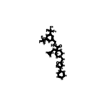 O=C(NCc1cc(C(F)(F)F)cc(C(F)(F)F)c1)C1(CC2CC2)CCN(Cc2cc(-c3ccccc3)no2)CC1